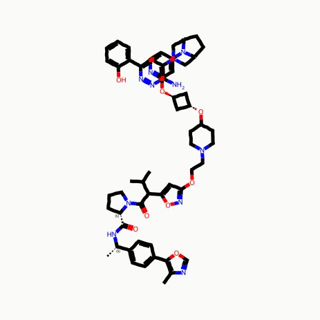 Cc1ncoc1-c1ccc([C@H](C)NC(=O)[C@@H]2CCCN2C(=O)C(c2cc(OCCN3CCC(O[C@H]4C[C@H](Oc5cc(N6C7CCC6CN(c6cc(-c8ccccc8O)nnc6N)C7)ccn5)C4)CC3)no2)C(C)C)cc1